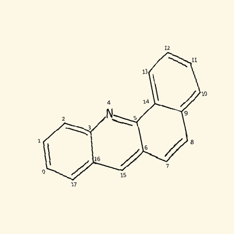 c1ccc2nc3c(ccc4ccccc43)cc2c1